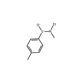 CCN(C)[S+]([O-])c1ccc(C)cc1